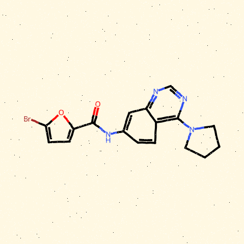 O=C(Nc1ccc2c(N3CCCC3)ncnc2c1)c1ccc(Br)o1